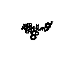 Cc1nn(C)c(Cl)c1S(=O)(=O)NC(CC1CCCCC1)C(=O)NCCN1CCc2cc(F)ccc21